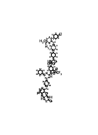 CC1(C)CCC(c2ccc(Cl)cc2)=C(CN2CCN(c3ccc(C(=O)NS(=O)(=O)c4ccc(N[C@H](CCN5CCN(Cc6cnc(F)c(NC7CCC(=O)NC7=O)c6)CC5)CSc5ccccc5)c(S(=O)(=O)C(F)(F)F)c4)cc3)CC2)C1